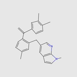 C=C(c1ccc(C)c(C)c1)c1ccc(C)cc1Cc1cnc2c(ccn2C)c1